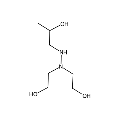 CC(O)CNN(CCO)CCO